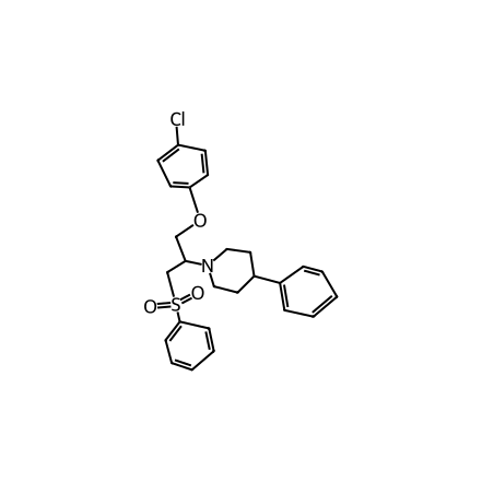 O=S(=O)(CC(COc1ccc(Cl)cc1)N1CCC(c2ccccc2)CC1)c1ccccc1